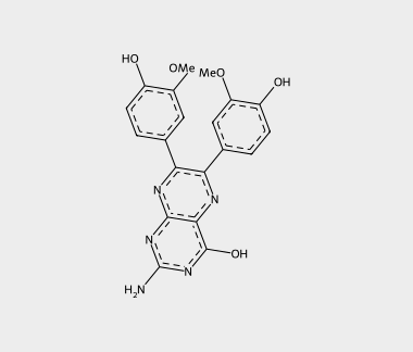 COc1cc(-c2nc3nc(N)nc(O)c3nc2-c2ccc(O)c(OC)c2)ccc1O